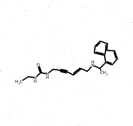 CCNC(=O)NCC#C/C=C/CN[C@H](C)c1cccc2ccccc12